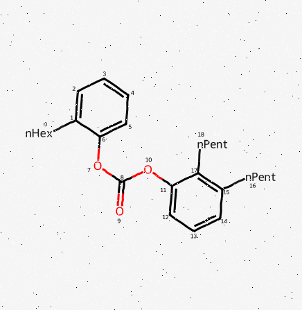 CCCCCCc1ccccc1OC(=O)Oc1cccc(CCCCC)c1CCCCC